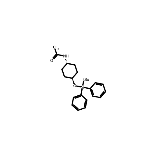 CC(C)(C)[Si](O[C@H]1CC[C@H](NC(=O)C(F)(F)F)CC1)(c1ccccc1)c1ccccc1